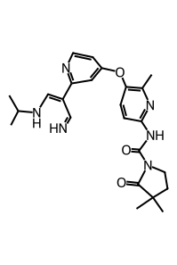 Cc1nc(NC(=O)N2CCC(C)(C)C2=O)ccc1Oc1ccnc(/C(C=N)=C/NC(C)C)c1